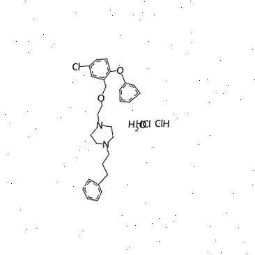 Cl.Cl.Clc1ccc(Oc2ccccc2)c(COCCN2CCN(CCCc3ccccc3)CC2)c1.O